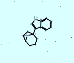 c1ccc2c(C34CCCC(CC3)N4)c[nH]c2c1